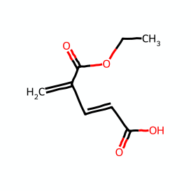 C=C(C=CC(=O)O)C(=O)OCC